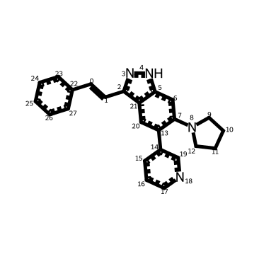 C(=C\c1n[nH]c2cc(N3CCCC3)c(-c3cccnc3)cc12)/c1ccccc1